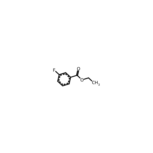 CCOC(=O)c1cccc(F)c1